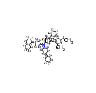 C=C1CC(CC)CC(C)(c2ccccc2-c2ccc(N(c3ccc(-c4ccccc4)cc3)c3ccc(-c4cccc5ccccc45)cc3)cc2)C1